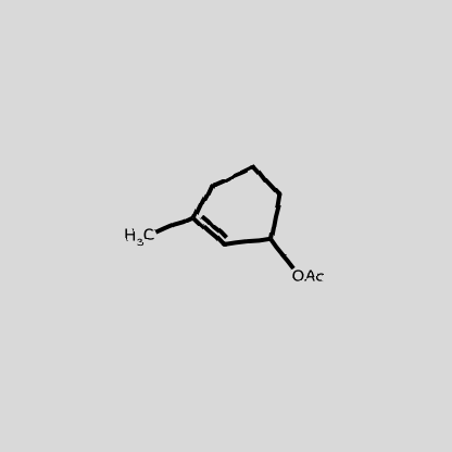 CC(=O)OC1C=C(C)CCC1